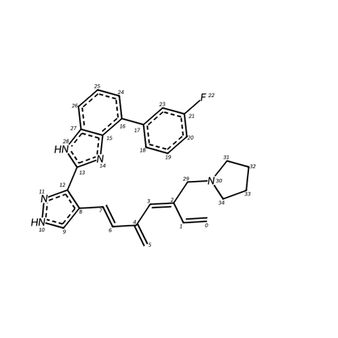 C=C/C(=C\C(=C)/C=C/c1c[nH]nc1-c1nc2c(-c3cccc(F)c3)cccc2[nH]1)CN1CCCC1